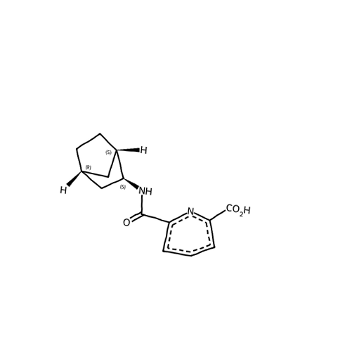 O=C(O)c1cccc(C(=O)N[C@H]2C[C@@H]3CC[C@H]2C3)n1